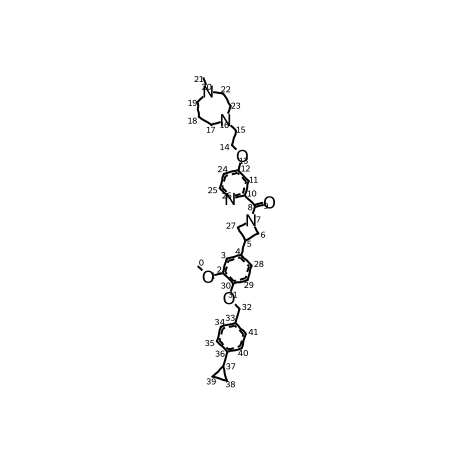 COc1cc(C2CN(C(=O)c3cc(OCCN4CCCN(C)CC4)ccn3)C2)ccc1OCc1ccc(C2CC2)cc1